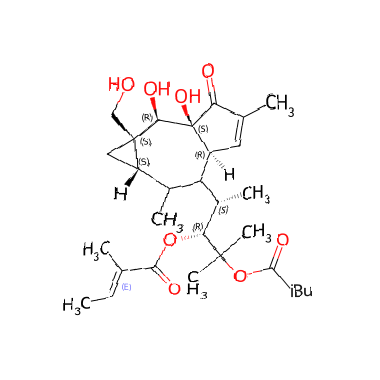 C/C=C(\C)C(=O)O[C@H]([C@@H](C)C1C(C)[C@@H]2C[C@]2(CO)[C@@H](O)[C@]2(O)C(=O)C(C)=C[C@@H]12)C(C)(C)OC(=O)C(C)CC